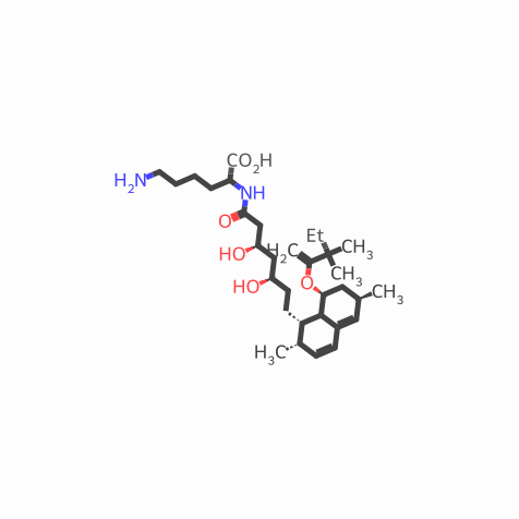 C=C(O[C@H]1C[C@@H](C)C=C2C=C[C@H](C)[C@H](CC[C@@H](O)C[C@@H](O)CC(=O)NC(CCCCN)C(=O)O)C21)C(C)(C)CC